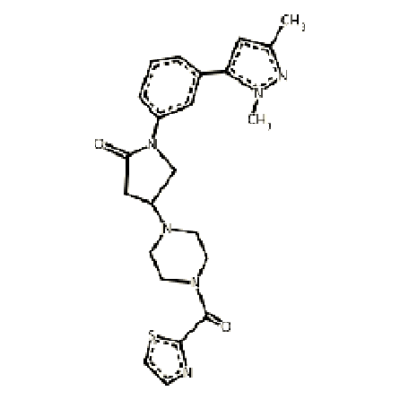 Cc1cc(-c2cccc(N3CC(N4CCN(C(=O)c5nccs5)CC4)CC3=O)c2)n(C)n1